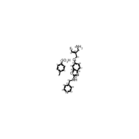 Cc1ccc(S(=O)(=O)O)cc1.NCC(=CF)COc1ccc2nc(NCc3ccncc3)oc2c1